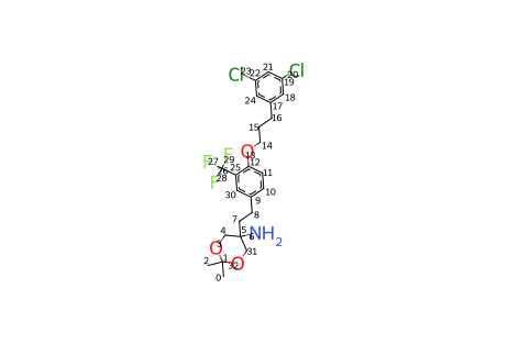 CC1(C)OCC(N)(CCc2ccc(OCCCc3cc(Cl)cc(Cl)c3)c(C(F)(F)F)c2)CO1